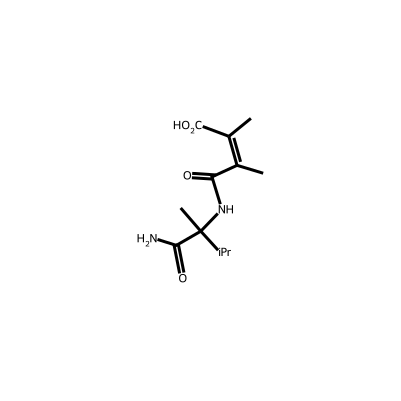 C/C(C(=O)O)=C(\C)C(=O)NC(C)(C(N)=O)C(C)C